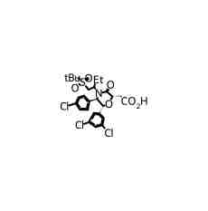 CCC(CS(=O)(=O)C(C)(C)C)N1C(=O)[C@H](CC(=O)O)O[C@H](c2cc(Cl)cc(Cl)c2)[C@H]1c1ccc(Cl)cc1